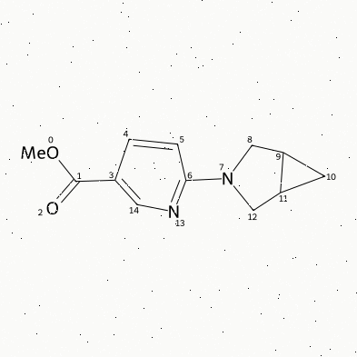 COC(=O)c1ccc(N2CC3CC3C2)nc1